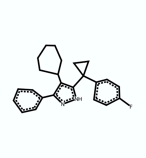 Fc1ccc(C2(c3[nH]nc(-c4ccccc4)c3C3CCCCC3)CC2)cc1